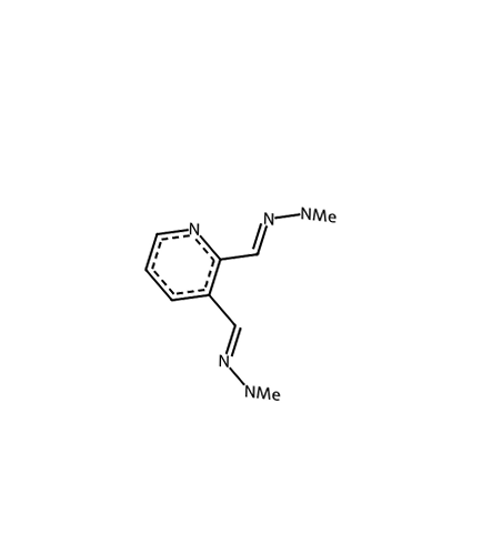 CNN=Cc1cccnc1C=NNC